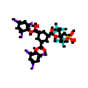 O=C(Oc1c(I)cc(I)cc1I)C1CC(C(=O)OC(CS(=O)(=O)O)(C(F)(F)F)C(F)(F)F)CC(C(O)Oc2c(I)cc(I)cc2I)C1